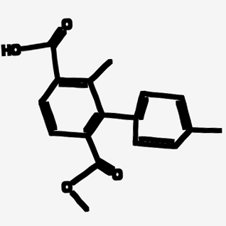 COC(=O)c1ccc(C(=O)O)c(C)c1-c1ccc(C)cc1